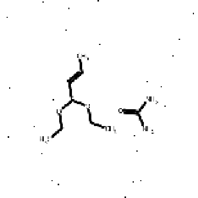 CC=CC(OCC)OCC.NC(N)=O